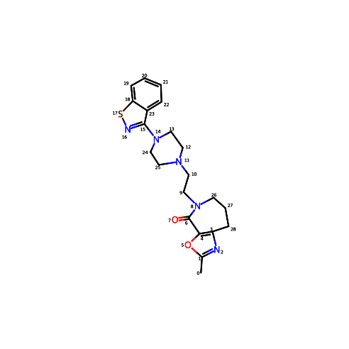 Cc1nc2c(o1)C(=O)N(CCN1CCN(c3nsc4ccccc34)CC1)CCC2